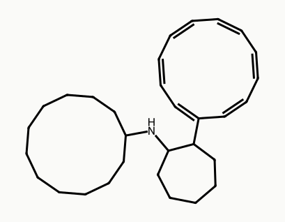 C1=C\C=C/C=C\C(C2CCCCCC2NC2CCCCCCCCCCC2)=C/C=C\C=C/1